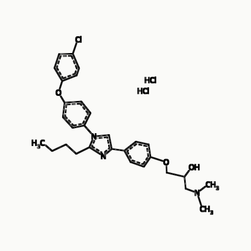 CCCCc1nc(-c2ccc(OCC(O)CN(C)C)cc2)cn1-c1ccc(Oc2ccc(Cl)cc2)cc1.Cl.Cl